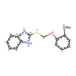 COc1ccccc1OCSc1nc2ccccc2[nH]1